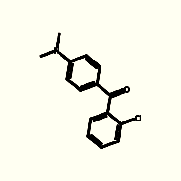 CN(C)c1ccc(C(=O)c2ccccc2Cl)cc1